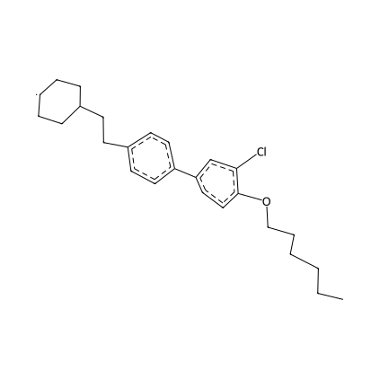 CCCCCCOc1ccc(-c2ccc(CCC3CC[CH]CC3)cc2)cc1Cl